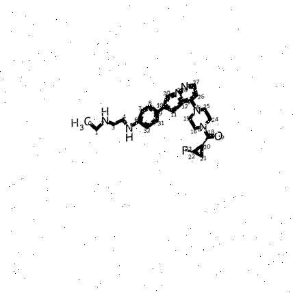 CCNCCNc1ccc(-c2cc3c(N4CCN(C(=O)[C@H]5C[C@H]5F)CC4)ccnn3c2)cc1